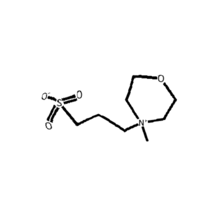 C[N+]1(CCCS(=O)(=O)[O-])CCOCC1